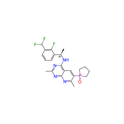 Cc1nc(N[C@H](C)c2cccc(C(F)F)c2F)c2cc(P3(=O)CCCC3)c(C)nc2n1